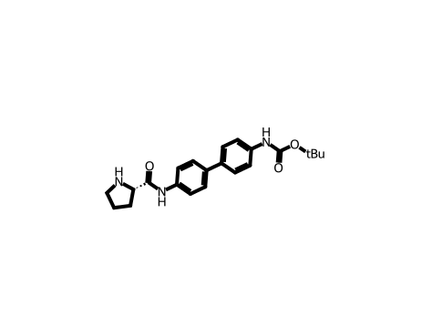 CC(C)(C)OC(=O)Nc1ccc(-c2ccc(NC(=O)[C@@H]3CCCN3)cc2)cc1